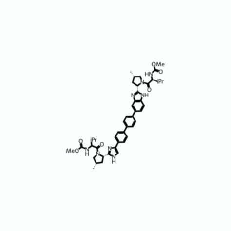 COC(=O)NC(C(=O)N1C[C@@H](C)C[C@H]1c1nc(-c2ccc(-c3ccc(-c4ccc5[nH]c([C@@H]6C[C@H](C)CN6C(=O)[C@@H](NC(=O)OC)C(C)C)nc5c4)cc3)cc2)c[nH]1)C(C)C